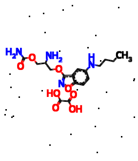 CCCCNc1ccc2onc(OCC(N)COC(N)=O)c2c1.O=C(O)C(=O)O